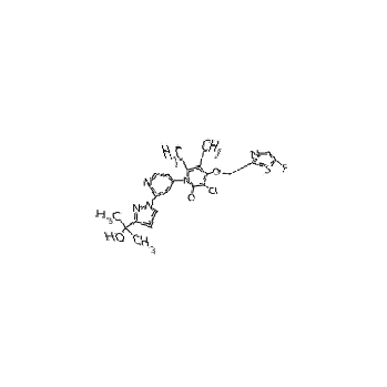 Cc1c(OCc2ncc(F)s2)c(Cl)c(=O)n(-c2ccnc(-n3ccc(C(C)(C)O)n3)c2)c1C